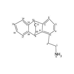 NCCc1cccc2c1C1CCC2c2ccccc21